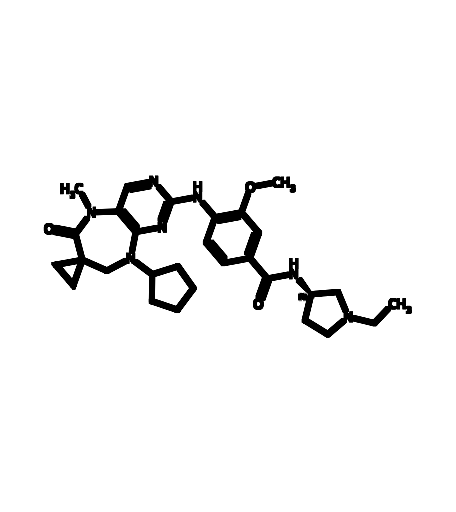 CCN1CC[C@@H](NC(=O)c2ccc(Nc3ncc4c(n3)N(C3CCCC3)CC3(CC3)C(=O)N4C)c(OC)c2)C1